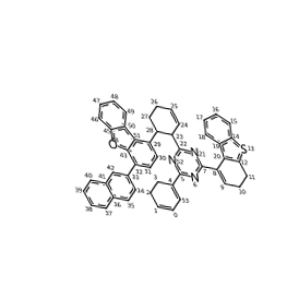 C1=CCCC(c2nc(C3=CCCc4sc5ccccc5c43)nc(C3C=CCCC3c3ccc(-c4ccc5ccccc5c4)c4oc5ccccc5c34)n2)=C1